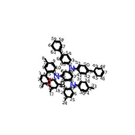 Cc1ccc(-c2cc(C)ccc2N2c3ccc(C)cc3B3c4cc(C)ccc4N(c4ccc(C)cc4)c4cc(N(c5ccc(-c6ccccc6)cc5)c5ccc(-c6ccccc6)cc5)cc2c43)cc1